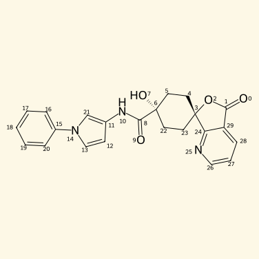 O=C1O[C@]2(CC[C@](O)(C(=O)Nc3ccn(-c4ccccc4)c3)CC2)c2ncccc21